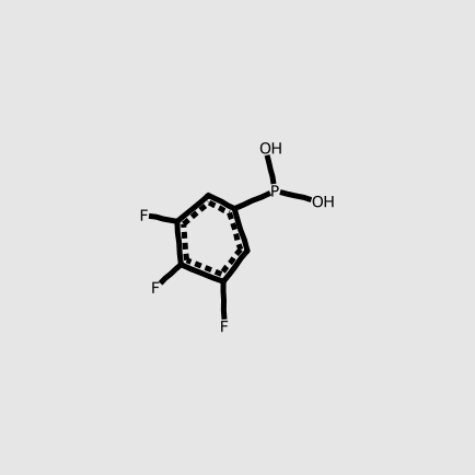 OP(O)c1cc(F)c(F)c(F)c1